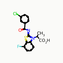 CC(C(=O)O)n1/c(=N/C(=O)c2cccc(Cl)c2)sc2c(F)cccc21